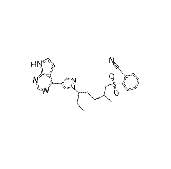 CCC(CCC(C)CS(=O)(=O)c1ccccc1C#N)n1cc(-c2ncnc3[nH]ccc23)cn1